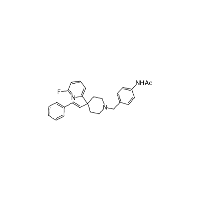 CC(=O)Nc1ccc(CN2CCC(/C=C/c3ccccc3)(c3cccc(F)n3)CC2)cc1